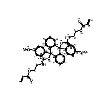 C=CC(=O)OCCNC(=O)OC1(c2ccc(SC)cc2)c2ccccc2C(OC(=O)NCCOC(=O)C=C)(c2ccc(SC)cc2)c2ccccc21